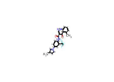 Cc1cccc2[nH]cc(C(=O)Nc3ccc(N4CCC(C)C4)cc3C(F)(F)F)c(=O)c12